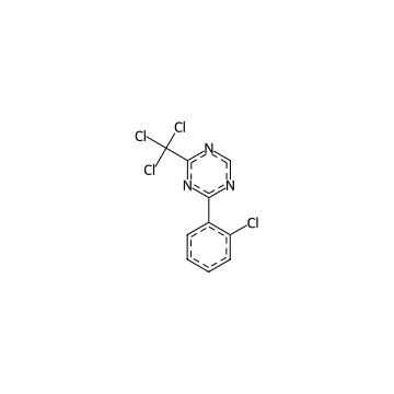 Clc1ccccc1-c1ncnc(C(Cl)(Cl)Cl)n1